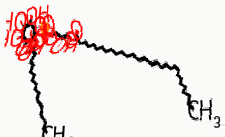 CCCCCCCC/C=C\CCCCCCCCCCCCCCCCCCCC(=O)OC[C@H](O)COP(=O)(O)O[C@@H]1C(OC(=O)CCCCCCCCCCCCCCC)C(O)[C@@H](O)[C@@H](O)C1O